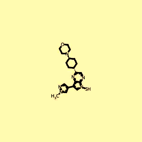 Cn1cc(-c2cn(S)c3ncc([C@H]4CC[C@H](N5CCOCC5)CC4)nc23)cn1